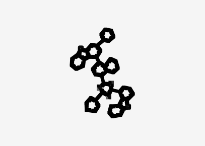 c1ccc(-c2cc(-c3ccc(-c4nc(-c5ccccc5)nc(-c5cccc6oc7ccccc7c56)n4)c4ccccc34)c3c(c2)oc2ccccc23)cc1